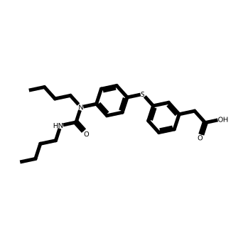 CCCCNC(=O)N(CCCC)c1ccc(Sc2cccc(CC(=O)O)c2)cc1